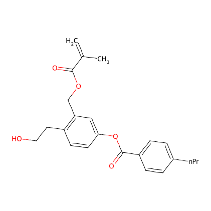 C=C(C)C(=O)OCc1cc(OC(=O)c2ccc(CCC)cc2)ccc1CCO